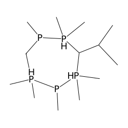 CC(C)C1[PH](C)(C)P(C)C[PH](C)(C)P(C)[PH]1(C)C